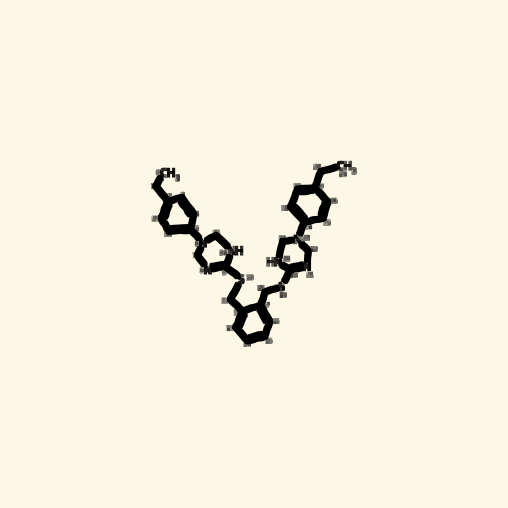 CCc1ccc(N2CN=C(SCc3ccccc3CSC3=NCN(c4ccc(CC)cc4)CN3)NC2)cc1